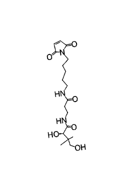 CC(C)(CO)[C@@H](O)C(=O)NCCC(=O)NCCCCCN1C(=O)C=CC1=O